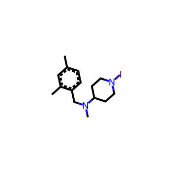 Cc1ccc(CN(C)C2CCN(I)CC2)c(C)c1